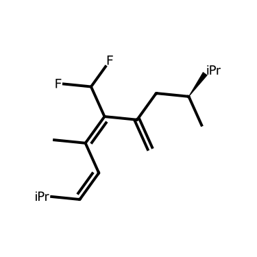 C=C(C[C@H](C)C(C)C)/C(=C(C)\C=C/C(C)C)C(F)F